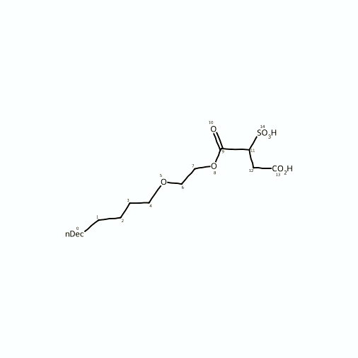 CCCCCCCCCCCCCCOCCOC(=O)C(CC(=O)O)S(=O)(=O)O